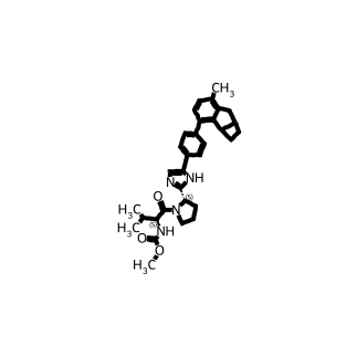 COC(=O)N[C@H](C(=O)N1CCC[C@H]1c1ncc(-c2ccc(-c3ccc(C)c4c3C3CCC3C4)cc2)[nH]1)C(C)C